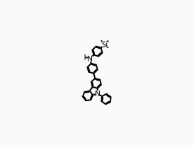 C[Si](C)(C)c1ccc(N(I)c2ccc(-c3ccc4c(c3)c3ccccc3n4-c3ccccc3)cc2)cc1